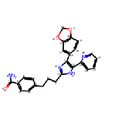 NC(=O)c1ccc(CCCc2nc(-c3ccc4c(c3)OCO4)c(-c3ccccn3)[nH]2)cc1